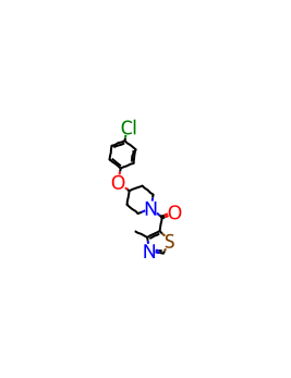 Cc1ncsc1C(=O)N1CCC(Oc2ccc(Cl)cc2)CC1